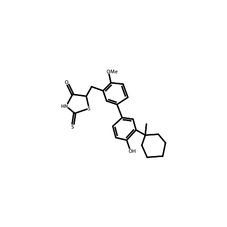 COc1ccc(-c2ccc(O)c(C3(C)CCCCC3)c2)cc1CC1SC(=S)NC1=O